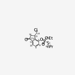 CCCSP(=O)(OCC)Oc1cccc2c1C(CCl)CC2=O